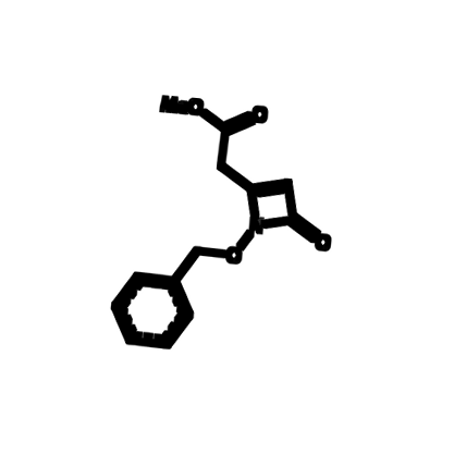 COC(=O)CC1=CC(=O)N1OCc1ccccc1